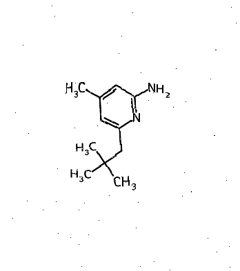 Cc1cc(N)nc(CC(C)(C)C)c1